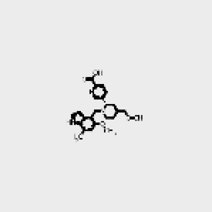 COCC1CCN(Cc2c(OC)cc(C)c3[nH]ccc23)[C@H](c2ccc(C(=O)O)nc2)C1